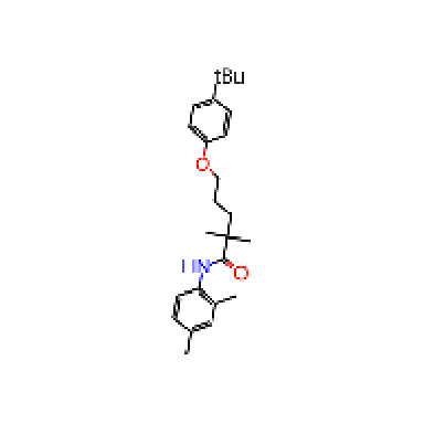 Cc1ccc(NC(=O)C(C)(C)CCCOc2ccc(C(C)(C)C)cc2)c(C)c1